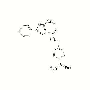 Cc1oc(-c2ccccc2)cc1C(=O)NCc1ccc(C(=N)N)cc1